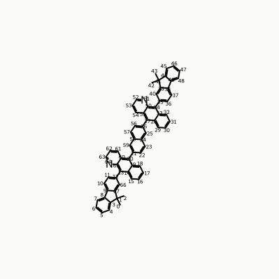 CC1(C)c2ccccc2-c2ccc(-c3c4ccccc4c(-c4ccc5cc(-c6c7ccccc7c(-c7ccc8c(c7)C(C)(C)c7ccccc7-8)c7ncccc67)ccc5c4)c4cccnc34)cc21